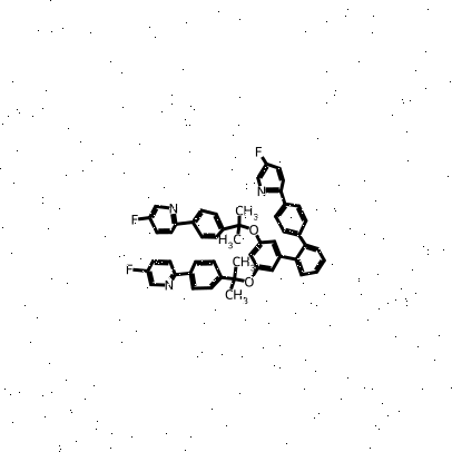 CC(C)(Oc1cc(OC(C)(C)c2ccc(-c3ccc(F)cn3)cc2)cc(-c2ccccc2-c2ccc(-c3ccc(F)cn3)cc2)c1)c1ccc(-c2ccc(F)cn2)cc1